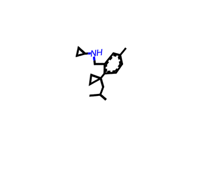 Cc1ccc(C2(CC(C)C)CC2)c(CNC2CC2)c1